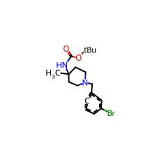 CC1(NC(=O)OC(C)(C)C)CCN(Cc2cccc(Br)c2)CC1